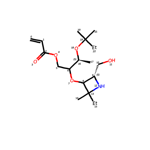 C=CC(=O)OCC(OC1[C@H](CO)NC1(C)CC)[C@H](C)OC(C)(C)CC